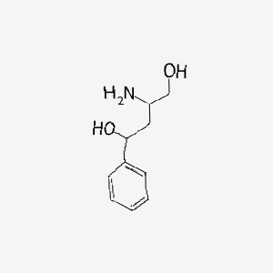 NC(CO)CC(O)c1ccccc1